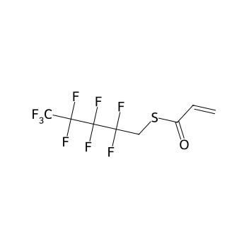 C=CC(=O)SCC(F)(F)C(F)(F)C(F)(F)C(F)(F)F